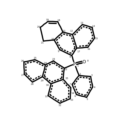 O=P(c1ccccc1)(c1cc2c(c3ccccc13)C=CCC2)c1cc2ccccc2c2ccccc12